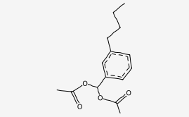 CCCCc1cccc(C(OC(C)=O)OC(C)=O)c1